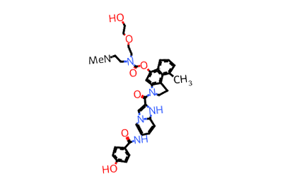 CNCCN(CCOCCO)C(=O)Oc1cc2c(c3c(C)cccc13)CCN2C(=O)C1=CN2C=C(NC(=O)c3ccc(O)cc3)C=CC2N1